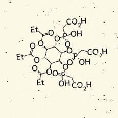 CCC(=O)O[C@@H]1[C@@H](OC(=O)CC)[C@H](OP(=O)(O)CC(=O)O)[C@@H](OP(=O)(O)CC(=O)O)[C@@H](OP(=O)(O)CC(=O)O)[C@H]1OC(=O)CC